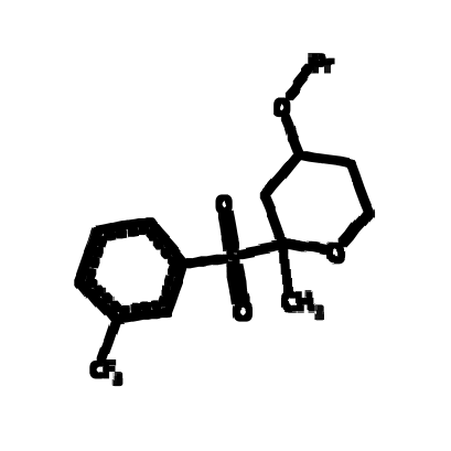 CC(C)OC1CCOC(C)(S(=O)(=O)c2cccc(C(F)(F)F)c2)C1